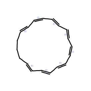 [C]1=C/C=C/C=C/C=C\C=C\C=C\C=C/C=C/CCC/1